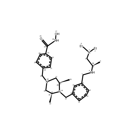 CCN(CC)C[C@@H](C)NCc1cccc(CN2[C@H](C)CN(Cc3ccc(C(=O)NO)cc3)C[C@@H]2C)c1